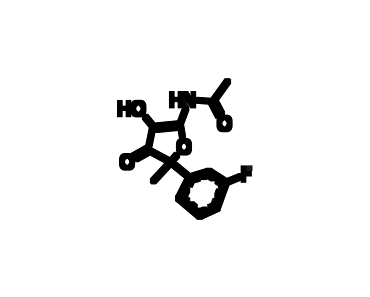 CC(=O)NC1=C(O)C(=O)C(C)(c2cccc(F)c2)O1